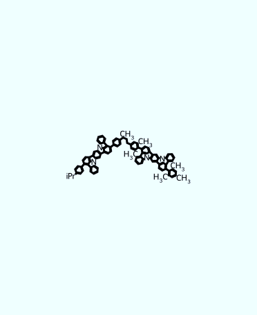 Cc1cc(C)c(-c2ccc3c4cc5c(cc4n4c6ccccc6c2c34)c2ccc(-c3c(C)cc(CCC(C)c4ccc(-c6ccc7c8cc9c(cc8n8c%10ccccc%10c6c78)c6ccc(-c7ccc(C(C)C)cc7)c7c8ccccc8n9c67)cc4)cc3C)c3c4ccccc4n5c23)c(C)c1